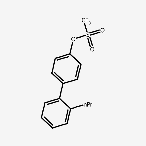 CCCc1ccccc1-c1ccc(OS(=O)(=O)C(F)(F)F)cc1